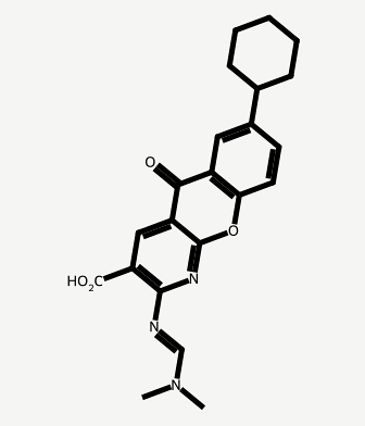 CN(C)/C=N/c1nc2oc3ccc(C4CCCCC4)cc3c(=O)c2cc1C(=O)O